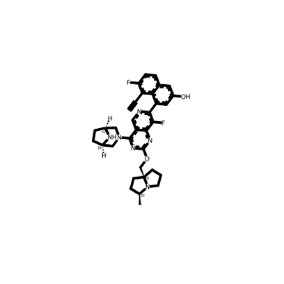 C#Cc1c(F)ccc2cc(O)cc(-c3ncc4c(N5C[C@H]6CC[C@@H](C5)N6)nc(OC[C@@]56CCCN5[C@@H]([CH2])CC6)nc4c3F)c12